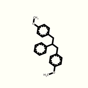 COc1ccc(C[C](Cc2ccc(OC)cc2)c2ccccc2)cc1